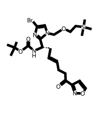 CC(C)(C)OC(=O)N[C@@H](CC=CCCC(=O)c1ccon1)c1nc(Br)cn1COCC[Si](C)(C)C